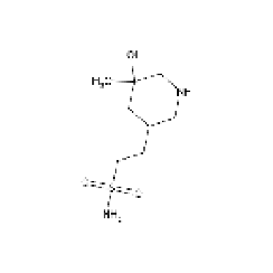 CC1(O)CNCC(CCS(N)(=O)=O)C1